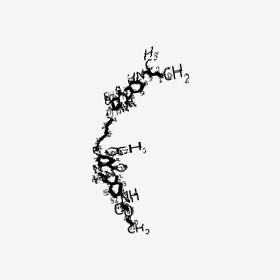 C=CCCC(C)Nc1ccc2c(c1)CN1C(=O)c3cc(OC)c(OCCCCCOc4cc5c(cc4OC)C(=O)N4Cc6cc(NC(=O)OCC=C)ccc6C[C@H]4C=N5)cc3N=C[C@@H]1C2